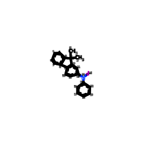 CC1(C)c2ccccc2-c2ccc(N(I)c3ccccc3)cc21